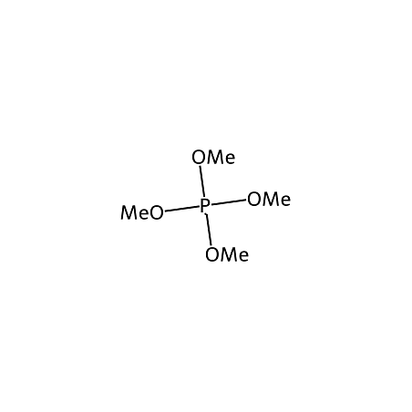 CO[P](OC)(OC)OC